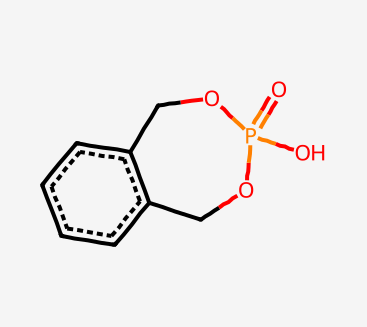 O=P1(O)OCc2ccccc2CO1